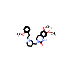 COc1ccccc1CCN1CCCC(CN2CCc3cc(OC)c(OC)cc3NC2=O)C1